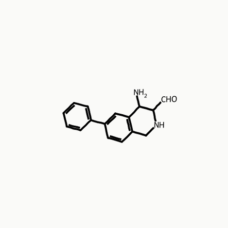 NC1c2cc(-c3ccccc3)ccc2CNC1C=O